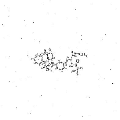 CCNC(=O)C(OC(=O)C(F)(F)F)Oc1cccc(Nc2ncc(Cl)c(Nc3ccccc3NS(C)(=O)=O)n2)c1